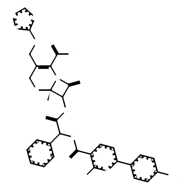 Cc1ccc(-c2ccc(C(=O)NC(C(=O)NC3C(=O)N4C(C(=O)O)=C(CSc5nncs5)CS[C@@H]34)c3ccccc3)c(O)n2)cc1